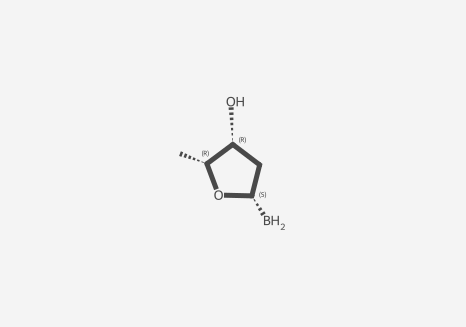 B[C@H]1C[C@@H](O)[C@@H](C)O1